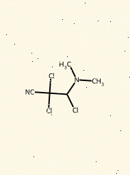 CN(C)C(Cl)C(Cl)(Cl)C#N